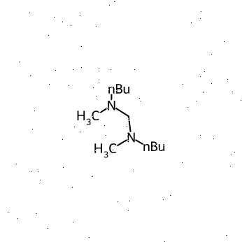 CCCCN(C)CN(C)CCCC